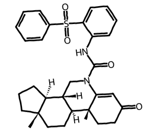 C[C@@]12CCC[C@H]1[C@@H]1CN(C(=O)Nc3ccccc3S(=O)(=O)c3ccccc3)C3=CC(=O)CC[C@]3(C)[C@H]1CC2